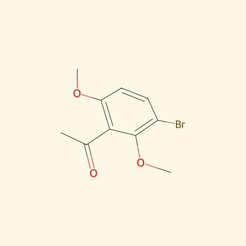 COc1ccc(Br)c(OC)c1C(C)=O